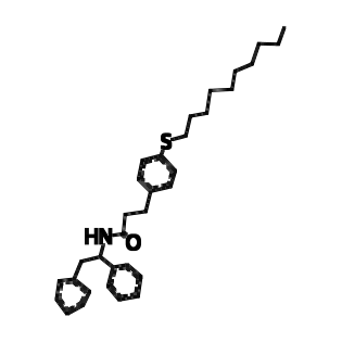 CCCCCCCCCCSc1ccc(CCC(=O)NC(Cc2ccccc2)c2ccccc2)cc1